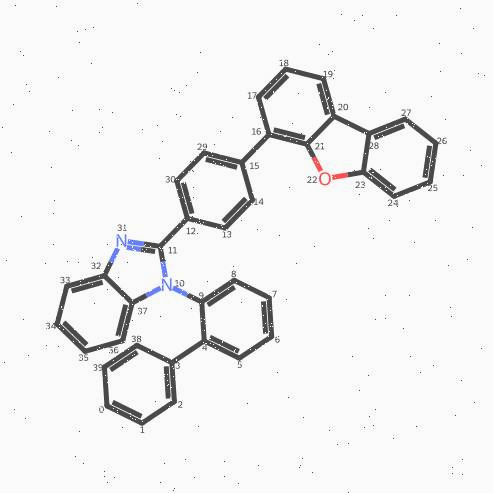 c1ccc(-c2ccccc2-n2c(-c3ccc(-c4cccc5c4oc4ccccc45)cc3)nc3ccccc32)cc1